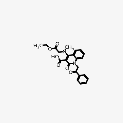 CCOC(=O)CN(C)c1c(C(=O)O)c(=O)n(CC(=O)c2ccccc2)c2ccccc12